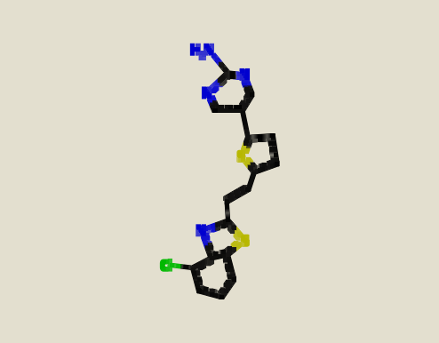 Nc1ncc(-c2ccc(C=Cc3nc4c(Cl)cccc4s3)s2)cn1